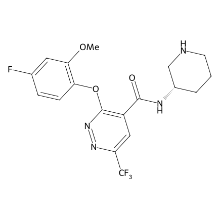 COc1cc(F)ccc1Oc1nnc(C(F)(F)F)cc1C(=O)N[C@H]1CCCNC1